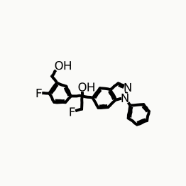 OCc1cc(C(O)(CF)c2ccc3c(cnn3-c3ccccc3)c2)ccc1F